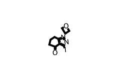 O=C1CCCc2c1c(I)nn2C1COC1